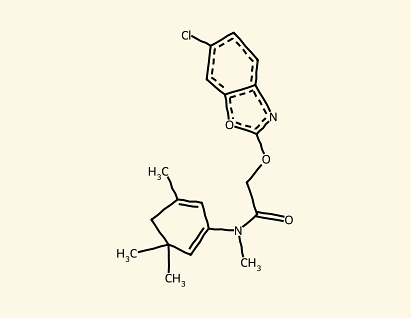 CC1=CC(N(C)C(=O)COc2nc3ccc(Cl)cc3o2)=CC(C)(C)C1